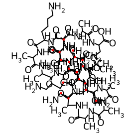 C=CCC(NC(=O)C(C)NC(=O)C(C)NC(=O)C(C)NC(=O)C(CCCCN)NC(=O)C(C)NC(=O)C(C)NC(=O)C(C)NC(=O)C(C)NC(=O)C(CCCCN)NC(=O)C(C)NC(=O)C(C)NC(=O)C(C)NC(=O)C(C)NC(=O)C(CCCCN)NC(=O)C(C)NC(=O)C(C)NC(=O)C(C)NC(=O)C(C)NC(=O)C(CCCCN)NC(=O)C(C)NC(=O)C(=C)C)C(=O)O